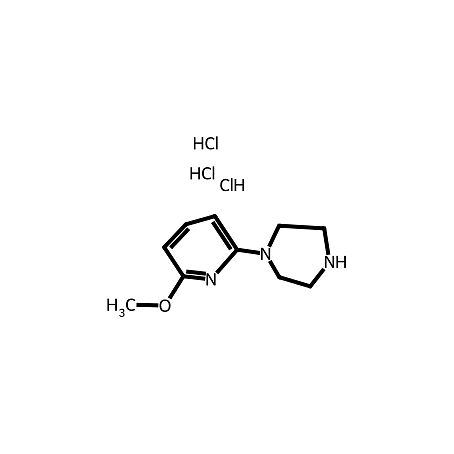 COc1cccc(N2CCNCC2)n1.Cl.Cl.Cl